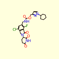 O=C1CCC(N2Cc3c(Cl)cc(CNC(=O)OCc4ccn(C5CCCCC5)n4)c(F)c3C2=O)C(=O)N1